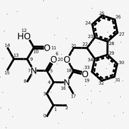 CC(C)CC(C(=O)N(C)C(C(=O)O)C(C)C)N(C)C(=O)OCC1c2ccccc2-c2ccccc21